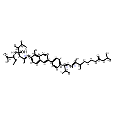 CCC(NC(O)(C/C(C)=N/c1ccc2cc(-c3ccc(/C(=C/N=C(\C)C(C)CCCCC(=O)CC(C)C)C(C)C)cc3)ccc2c1C)C(C)C(C)C)C(C)=O